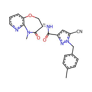 Cc1ccc(Cn2nc(C(=O)N[C@H]3COc4cccnc4N(C)C3=O)cc2C#N)cc1